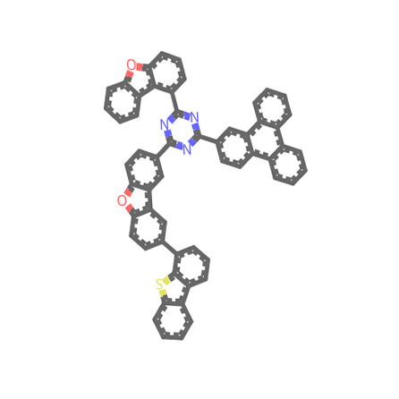 c1ccc2c(c1)oc1cccc(-c3nc(-c4ccc5oc6ccc(-c7cccc8c7sc7ccccc78)cc6c5c4)nc(-c4ccc5c6ccccc6c6ccccc6c5c4)n3)c12